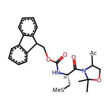 CSC[C@H](NC(=O)OCC1c2ccccc2-c2ccccc21)C(=O)N1C(C(C)=O)COC1(C)C